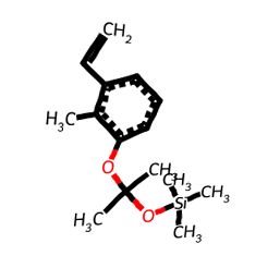 C=Cc1cccc(OC(C)(C)O[Si](C)(C)C)c1C